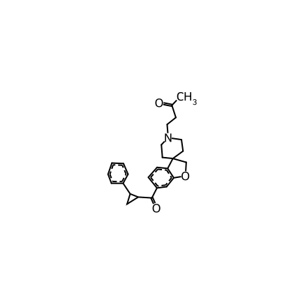 CC(=O)CCN1CCC2(CC1)COc1cc(C(=O)C3CC3c3ccccc3)ccc12